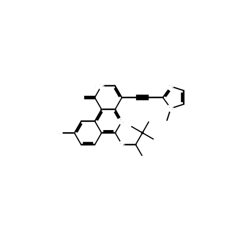 CC(Nc1nc2c(C#Cc3nccn3C)c[nH]c(=O)c2c2cc(Br)ccc12)C(C)(C)C